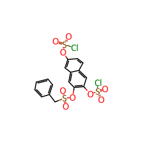 O=S(=O)(Cl)Oc1ccc2cc(OS(=O)(=O)Cl)c(OS(=O)(=O)Cc3ccccc3)cc2c1